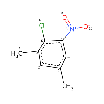 Cc1cc(C)c(Cl)c([N+](=O)[O-])c1